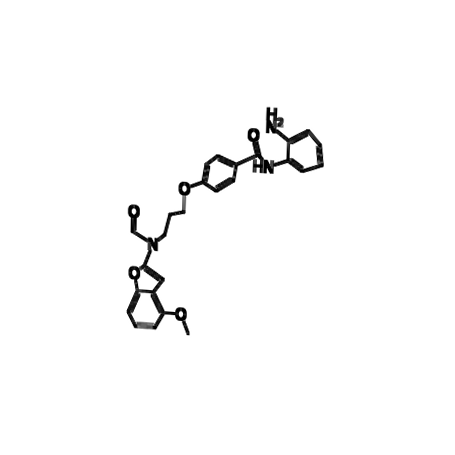 COc1cccc2oc(N(C=O)CCCOc3ccc(C(=O)Nc4ccccc4N)cc3)cc12